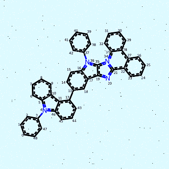 c1ccc(-n2c3ccccc3c3c(-c4ccc5c(c4)c4nc6c7ccccc7c7ccccc7n6c4n5-c4ccccc4)cccc32)cc1